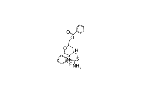 NC1=NC2(c3ccccc3F)CO[C@@H](COC(=O)c3ccccc3)C[C@H]2CS1